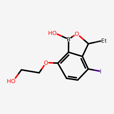 CCC1OB(O)c2c(OCCO)ccc(I)c21